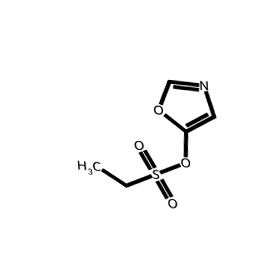 CCS(=O)(=O)Oc1cnco1